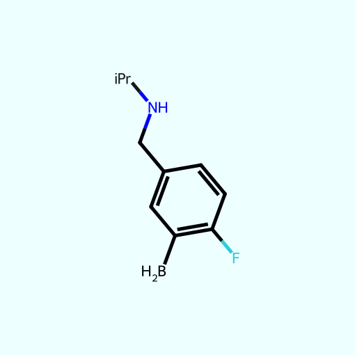 Bc1cc(CNC(C)C)ccc1F